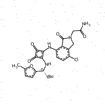 Cc1ccc([C@H](Nc2c(Nc3ccc(Cl)c4c3C(=O)N(CC(N)=O)C4)c(=O)c2=O)C(C)(C)C)o1